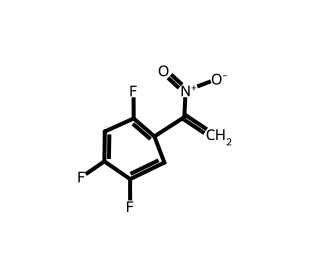 C=C(c1cc(F)c(F)cc1F)[N+](=O)[O-]